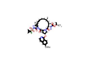 COc1ccc2c(O[C@@H]3C[C@H]4C(=O)N[C@]5(C(=O)NS(=O)(=O)C6(F)CC6)C[C@H]5/C=C\CC[C@@H](C)C[C@@H](C)[C@H](NC(=O)O[C@H](C)C(F)(F)F)C(=O)N4C3)nccc2c1